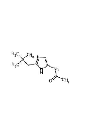 CC(=O)Nc1cnc(CC(C)(C)C)[nH]1